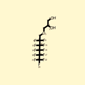 OCC(O)COCC(F)(F)C(F)(F)C(F)(F)C(F)(F)C(F)(F)F